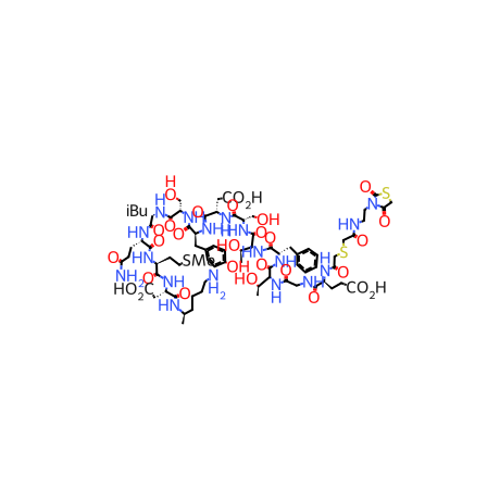 CC[C@H](C)[C@H](NC(=O)[C@H](CO)NC(=O)[C@H](Cc1ccc(O)cc1)NC(=O)[C@H](CC(=O)O)NC(=O)[C@H](CO)NC(=O)[C@@H](NC(=O)[C@H](Cc1ccccc1)NC(=O)[C@@H](NC(=O)CNC(=O)[C@H](CCC(=O)O)NC(=O)CSCC(=O)NCCN1C(=O)CSC1=O)[C@@H](C)O)[C@@H](C)O)C(=O)N[C@@H](CCC(N)=O)C(=O)N[C@@H](CCSC)C(=O)N[C@@H](CC(=O)O)C(=O)N[C@H](C)CCCCN